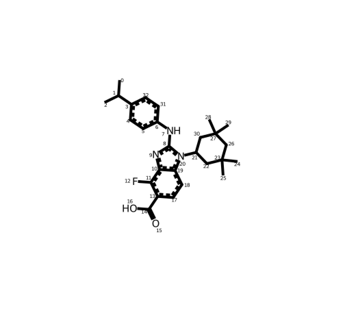 CC(C)c1ccc(Nc2nc3c(F)c(C(=O)O)ccc3n2C2CC(C)(C)CC(C)(C)C2)cc1